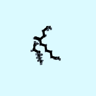 CCCCCCC(=O)OCC.CC[O][Al+2].[H-].[H-].[Ni+2]